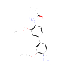 COc1cc(-c2ccc(NC(C)=O)c(OC)c2)ccc1N